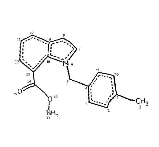 Cc1ccc(Cn2ccc3cccc(C(=O)ON)c32)cc1